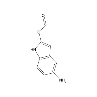 Nc1ccc2[nH]c(OC=O)cc2c1